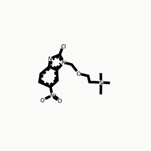 C[Si](C)(C)CCOCn1c(Cl)nc2ccc([N+](=O)[O-])cc21